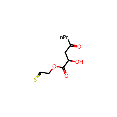 CCCC(=O)CC(O)C(=O)OCC=S